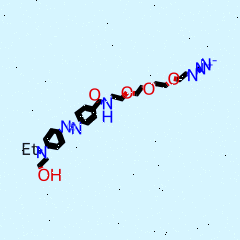 CCN(CCO)c1ccc(/N=N/c2ccc(C(=O)NCCOCCOCCOCCN=[N+]=[N-])cc2)cc1